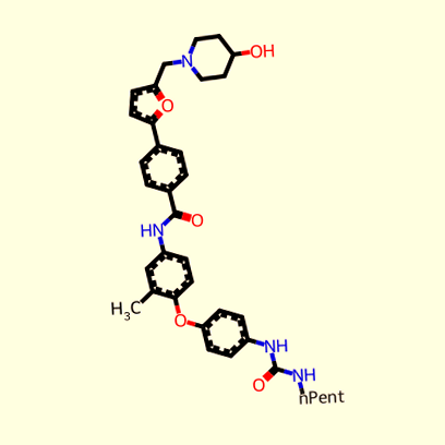 CCCCCNC(=O)Nc1ccc(Oc2ccc(NC(=O)c3ccc(-c4ccc(CN5CCC(O)CC5)o4)cc3)cc2C)cc1